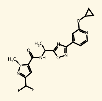 C[C@H](NC(=O)c1cc(C(F)F)nn1C)c1nc(-c2ccnc(OC3CC3)c2)no1